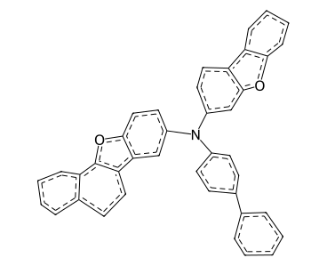 c1ccc(-c2ccc(N(c3ccc4c(c3)oc3ccccc34)c3ccc4oc5c6ccccc6ccc5c4c3)cc2)cc1